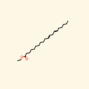 CCCCC/C=C/C/C=C/CCCCCCCCCC(=O)OCC